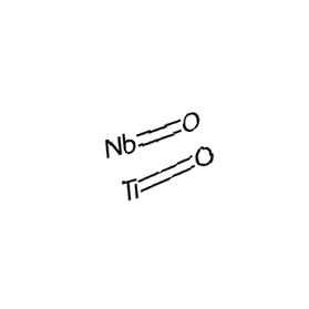 [O]=[Nb].[O]=[Ti]